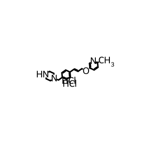 Cc1ccc(OC/C=C/c2ccc(CN3CCNCC3)cc2)cn1.Cl.Cl